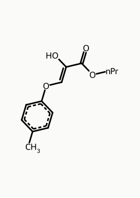 CCCOC(=O)C(O)=COc1ccc(C)cc1